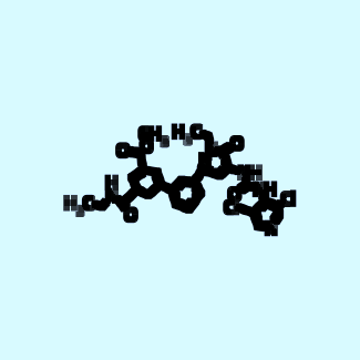 CCNC(=O)C1C=C(C(=O)OC)C=C(c2cccc(-c3cc(NC(=O)Nc4c(Cl)cncc4Cl)c(=O)n(CC)n3)c2)C1